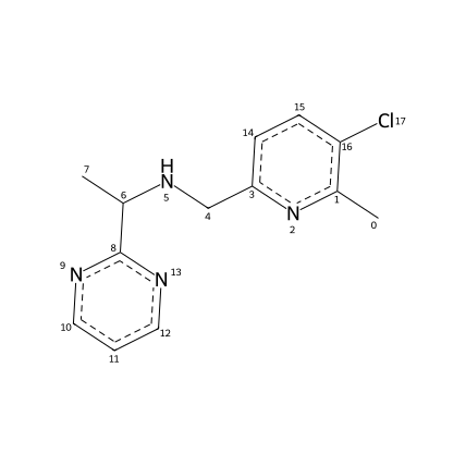 Cc1nc(CNC(C)c2ncccn2)ccc1Cl